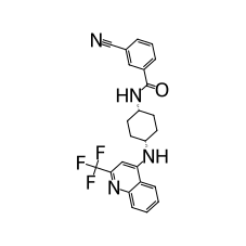 N#Cc1cccc(C(=O)N[C@H]2CC[C@@H](Nc3cc(C(F)(F)F)nc4ccccc34)CC2)c1